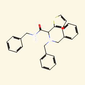 O=C(NCc1ccccc1)C(c1cccs1)N(Cc1ccccc1)Cc1ccccc1